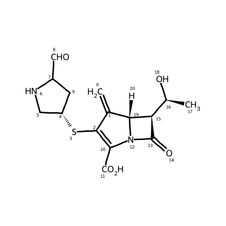 C=C1C(S[C@@H]2CNC(C=O)C2)=C(C(=O)O)N2C(=O)[C@H]([C@H](C)O)[C@@H]12